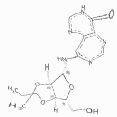 CC1(C)O[C@@H]2[C@H](O1)[C@@H](CO)O[C@H]2Nc1ncnc2c(=O)[nH]cnc12